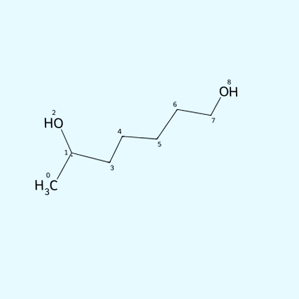 C[C](O)CCCCCO